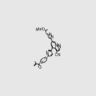 C=C(C)C(=O)N1CCN(c2ccc(-c3cc(-c4cn(CC(C)OC)nn4)cn4ncc(C#N)c34)cn2)CC1